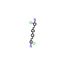 N#Cc1ccc(/C=C/c2ccc(-c3ccc(/C=C/c4ccc(C#N)c(Cl)c4)cc3)cc2)cc1Cl